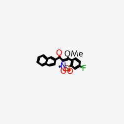 COC1=C(C(=O)c2ccc3ccccc3c2)N(C)S(=O)(=O)c2cc(F)ccc21